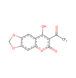 O=C(c1c(O)c2cc3c(cc2oc1=O)OCO3)C(F)(F)F